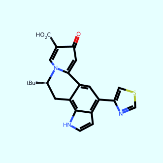 CC(C)(C)[C@@H]1Cc2c(cc(-c3cscn3)c3cc[nH]c23)-c2cc(=O)c(C(=O)O)cn21